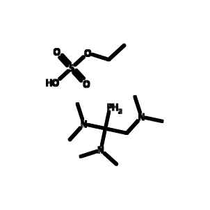 CCOS(=O)(=O)O.CN(C)CC(P)(N(C)C)N(C)C